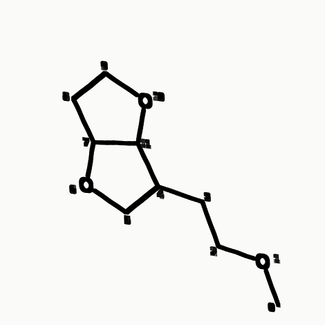 COCCC1COC2CCOC12